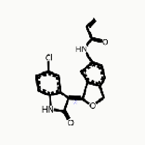 C=CC(=O)Nc1ccc2c(c1)/C(=C1/C(=O)Nc3ccc(Cl)cc31)OC2